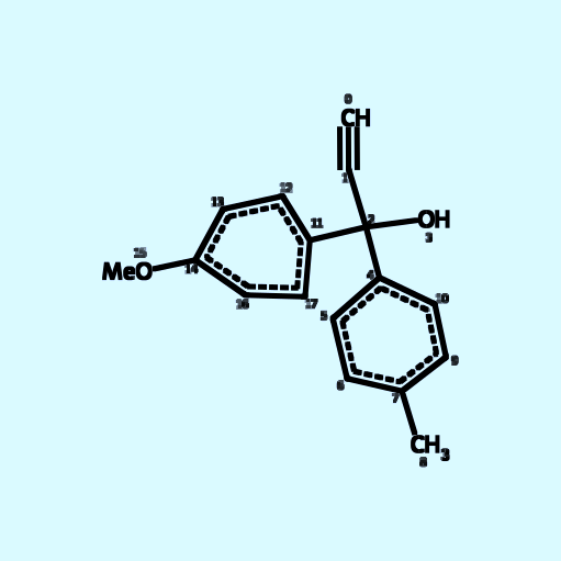 C#CC(O)(c1ccc(C)cc1)c1ccc(OC)cc1